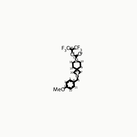 COc1ccc(CN2CC3(CCN(C(=O)OC(C(F)(F)F)C(F)(F)F)CC3)C2)cc1